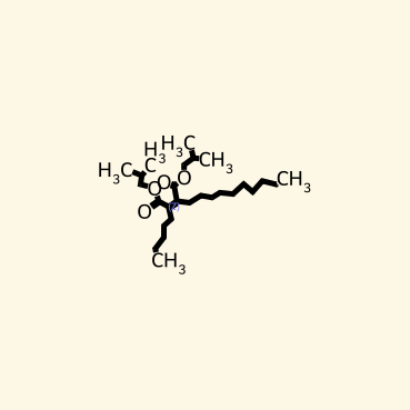 CCCCCCCCCC/C(C(=O)OCC(C)C)=C(\CCCCC)C(=O)OCC(C)C